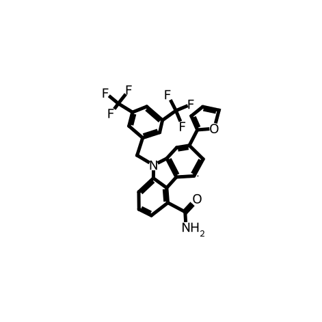 NC(=O)c1cccc2c1c1[c]cc(-c3ccco3)cc1n2Cc1cc(C(F)(F)F)cc(C(F)(F)F)c1